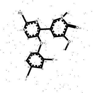 COc1cc(-c2nc(S)ncc2Oc2ccc(F)cc2F)cn(C)c1=O